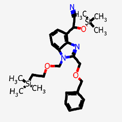 C[Si](C)(C)CCOCn1c(COCc2ccccc2)nc2c(C(C#N)O[Si](C)(C)C)cccc21